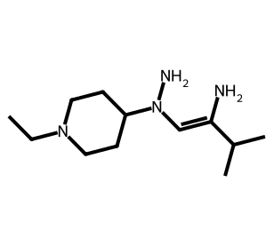 CCN1CCC(N(N)/C=C(\N)C(C)C)CC1